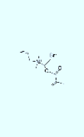 C=CC[N+](C)(C)C(C)OC(=O)C(=C)C.[Br-]